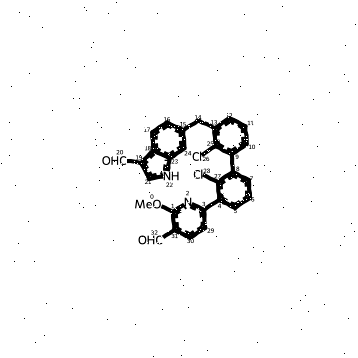 COc1nc(-c2cccc(-c3cccc(Cc4ccc5c(C=O)c[nH]c5c4)c3Cl)c2Cl)ccc1C=O